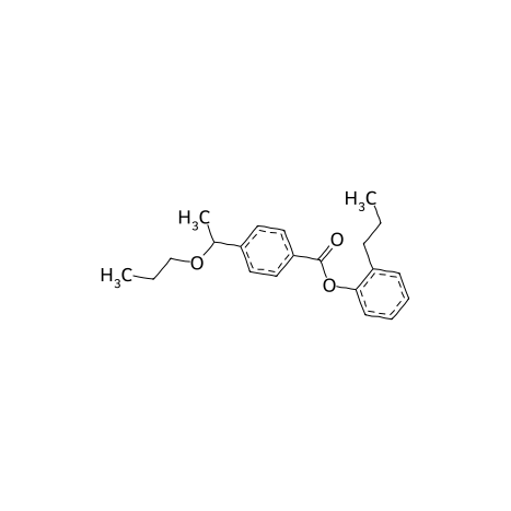 CCCOC(C)c1ccc(C(=O)Oc2ccccc2CCC)cc1